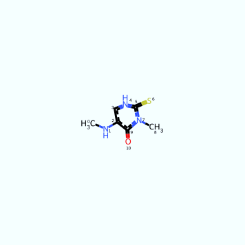 CNc1c[nH]c(=S)n(C)c1=O